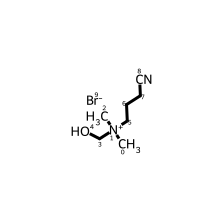 C[N+](C)(CO)CCCC#N.[Br-]